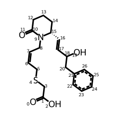 O=C(O)CSC/C=C\CN1C(=O)CCC[C@@H]1/C=C/C(O)Cc1ccccc1